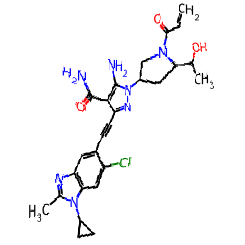 C=CC(=O)N1CC(n2nc(C#Cc3cc4nc(C)n(C5CC5)c4cc3Cl)c(C(N)=O)c2N)C[C@@H]1C(C)O